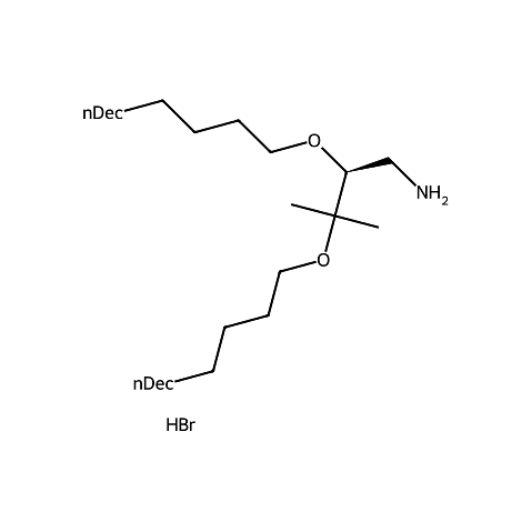 Br.CCCCCCCCCCCCCCO[C@@H](CN)C(C)(C)OCCCCCCCCCCCCCC